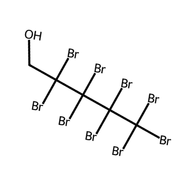 OCC(Br)(Br)C(Br)(Br)C(Br)(Br)C(Br)(Br)Br